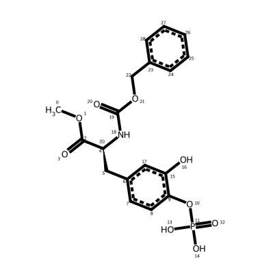 COC(=O)[C@H](Cc1ccc(OP(=O)(O)O)c(O)c1)NC(=O)OCc1ccccc1